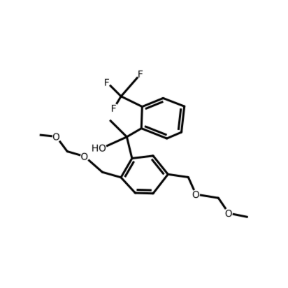 COCOCc1ccc(COCOC)c(C(C)(O)c2ccccc2C(F)(F)F)c1